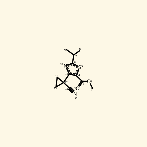 COC(=O)c1sc(C(C)C)nc1C1(C#N)CC1